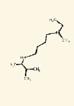 CCN(C)CCCCNC(C)C(C)C